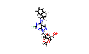 CC1(C)O[C@@H]2[C@H](O1)[C@@H](CO)O[C@@H]2Cn1ncc2c(N3CC4(CCc5ccccc54)C3)nc(Cl)nc21